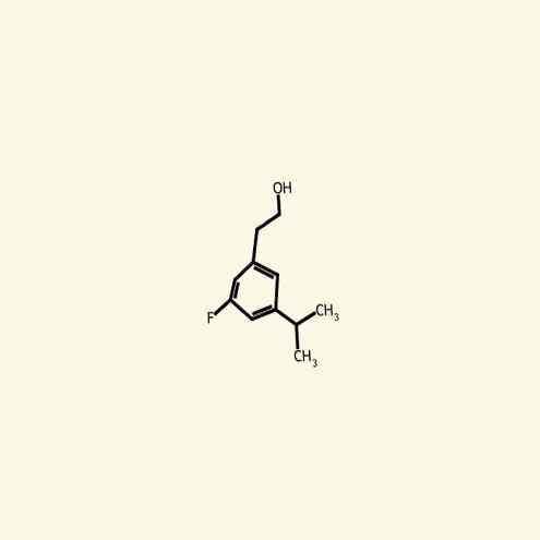 CC(C)c1cc(F)cc(CCO)c1